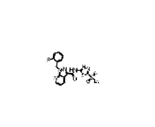 CCS(=O)(=O)c1nnc(NC(=O)c2nn(Cc3ccccc3F)c3ncccc23)s1